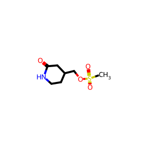 CS(=O)(=O)OCC1CCNC(=O)C1